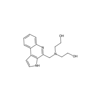 OCCN(CCO)Cc1nc2ccccc2c2cc[nH]c12